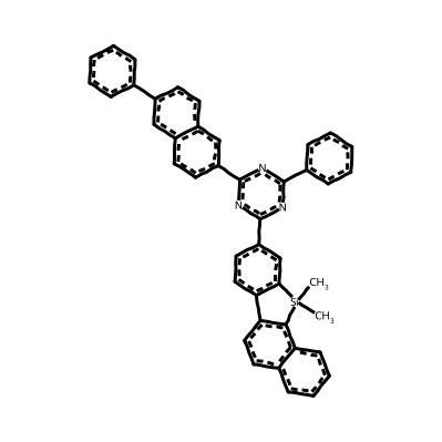 C[Si]1(C)c2cc(-c3nc(-c4ccccc4)nc(-c4ccc5cc(-c6ccccc6)ccc5c4)n3)ccc2-c2ccc3ccccc3c21